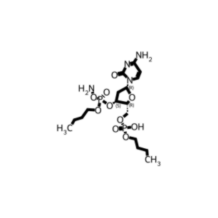 CCCCOP(=O)(O)OC[C@H]1O[C@@H](n2ccc(N)nc2=O)C[C@@H]1OP(=O)(ON)OCCCC